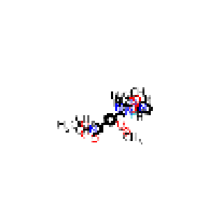 COCOc1cc(C2=CC(=O)N(C(=O)OC(C)(C)C)C2)ccc1-c1cnc(N(C)[C@H]2C[C@@H]3CC[C@H]([C@H]2F)N3C(=O)OC(C)(C)C)cn1